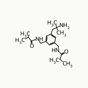 CC(C)C(=O)NCc1cc(CNC(=O)C(C)C)cc(CC(C)(C)N)c1